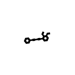 C=Cc1cccc(C#CC#Cc2ccccc2)c1C=C